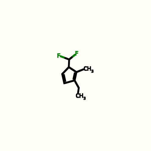 CCC1=C(C)C(C(F)F)C=C1